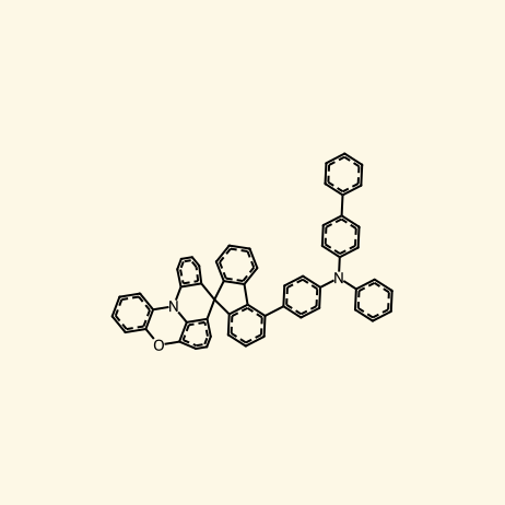 c1ccc(-c2ccc(N(c3ccccc3)c3ccc(-c4cccc5c4-c4ccccc4C54c5ccccc5N5c6ccccc6Oc6cccc4c65)cc3)cc2)cc1